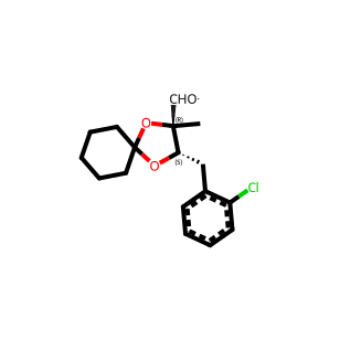 C[C@@]1([C]=O)OC2(CCCCC2)O[C@H]1Cc1ccccc1Cl